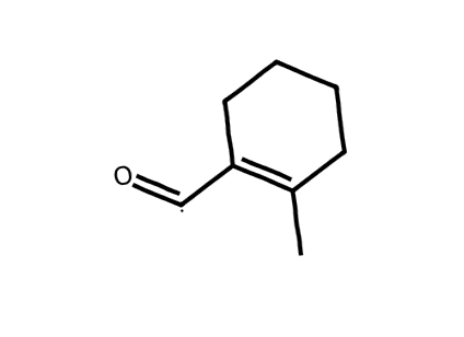 CC1=C([C]=O)CCCC1